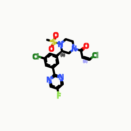 CS(=O)(=O)N1CCN(C(=O)/C=C\Cl)C[C@H]1c1cc(Cl)cc(-c2ncc(F)cn2)c1